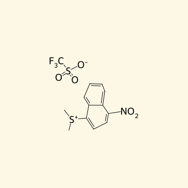 C[S+](C)c1ccc([N+](=O)[O-])c2ccccc12.O=S(=O)([O-])C(F)(F)F